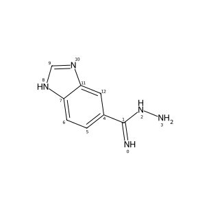 N=C(NN)c1ccc2[nH]cnc2c1